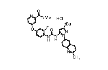 CNC(=O)c1cc(Oc2ccc(NC(=O)Nc3cc(C(C)(C)C)nn3-c3ccc4nc(C)ccc4c3)c(F)c2)ccn1.Cl